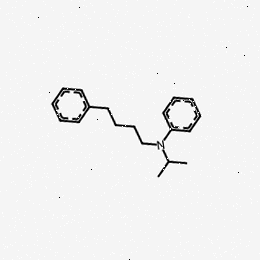 CC(C)N(CCCCc1ccccc1)c1ccccc1